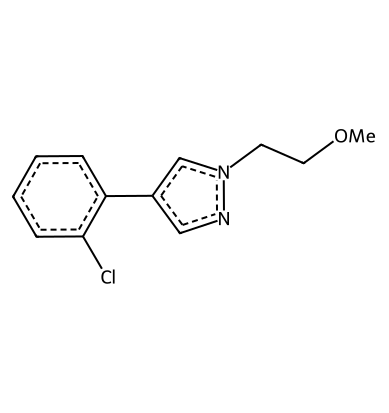 COCCn1cc(-c2ccccc2Cl)cn1